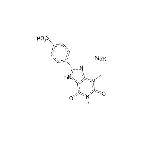 Cn1c(=O)c2[nH]c(-c3ccc(S(=O)(=O)O)cc3)nc2n(C)c1=O.[NaH]